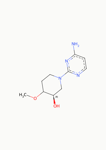 COC1CCN(c2nccc(N)n2)C[C@H]1O